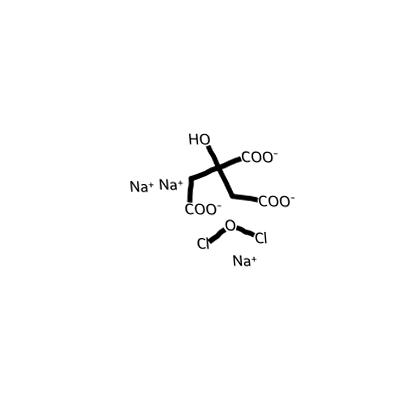 ClOCl.O=C([O-])CC(O)(CC(=O)[O-])C(=O)[O-].[Na+].[Na+].[Na+]